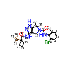 Cc1cccc(Br)c1NC(=O)N1Cc2c(NC(=O)C3(S(C)(C)C)CCC3)n[nH]c2C1(C)C